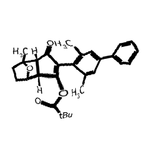 Cc1cc(-c2ccccc2)cc(C)c1C1=C(OC(=O)C(C)(C)C)[C@@H]2C3CCC(C)(O3)[C@@H]2C1=O